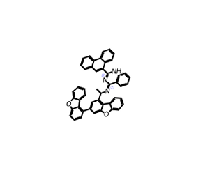 CC(/N=C(\N=C(/N)c1cc2ccccc2c2ccccc12)c1ccccc1)c1cc(-c2cccc3oc4ccccc4c23)cc2oc3ccccc3c12